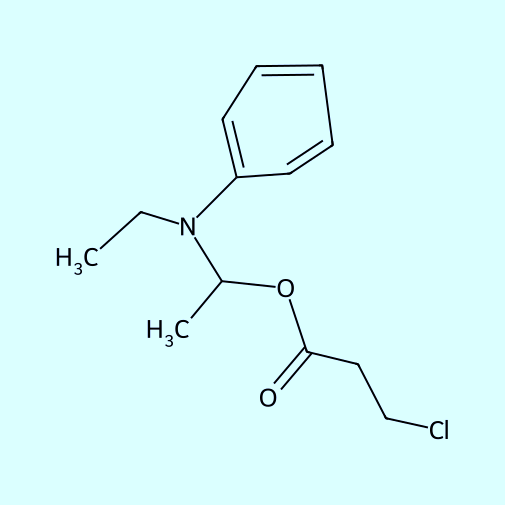 CCN(c1ccccc1)C(C)OC(=O)CCCl